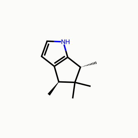 C[C@H]1c2cc[nH]c2[C@H](C)C1(C)C